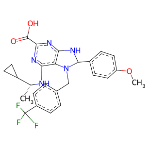 COc1ccc(C2Nc3nc(C(=O)O)nc(N[C@H](C)C4CC4)c3N2Cc2ccc(C(F)(F)F)cc2)cc1